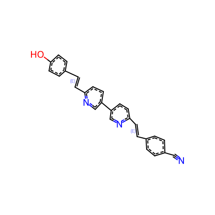 N#Cc1ccc(/C=C/c2ccc(-c3ccc(/C=C/c4ccc(O)cc4)nc3)cn2)cc1